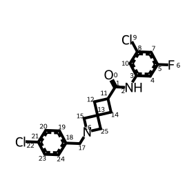 O=C(Nc1cc(F)cc(Cl)c1)C1CC2(C1)CN(Cc1ccc(Cl)cc1)C2